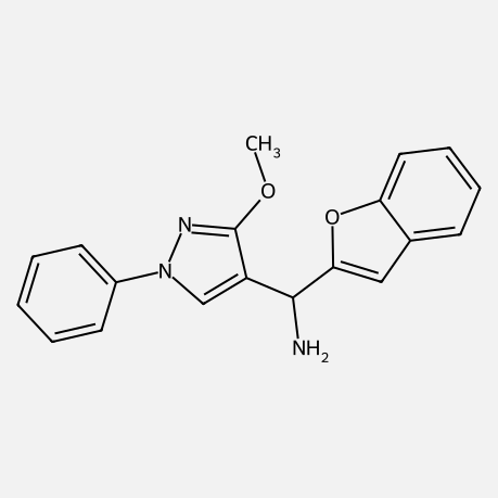 COc1nn(-c2ccccc2)cc1C(N)c1cc2ccccc2o1